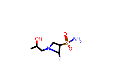 CC(O)CN1CC(S(N)(=O)=O)C1I